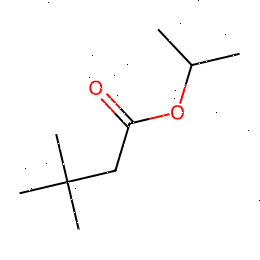 CC(C)OC(=O)CC(C)(C)C